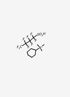 C[N+](C)(C)C1CCCCC1.O=S(=O)(O)C(F)(F)C(F)(F)C(F)(F)C(F)(F)F